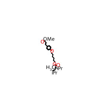 COC(=O)/C=C/c1ccc(OCCCCCCOC(=O)C(C)(CCC(C)C)C(C)C)cc1